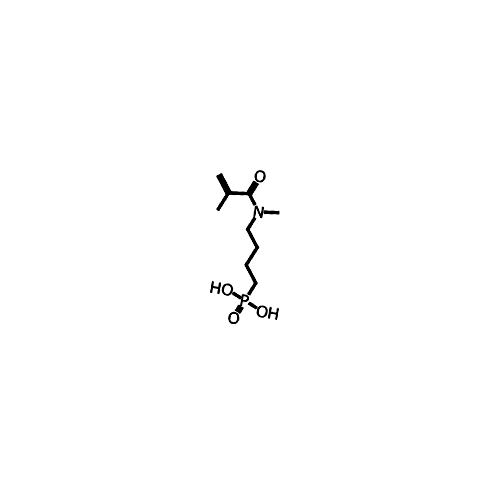 C=C(C)C(=O)N(C)CCCCP(=O)(O)O